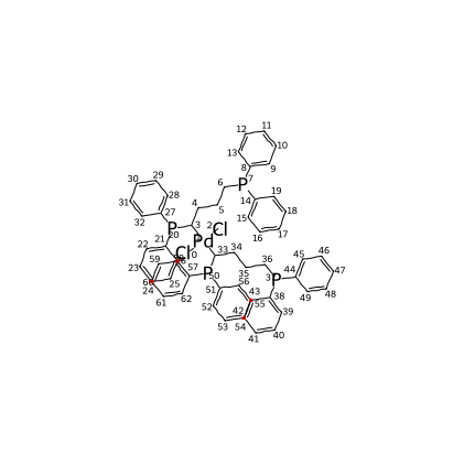 [Cl][Pd]([Cl])([CH](CCCP(c1ccccc1)c1ccccc1)P(c1ccccc1)c1ccccc1)[CH](CCCP(c1ccccc1)c1ccccc1)P(c1ccccc1)c1ccccc1